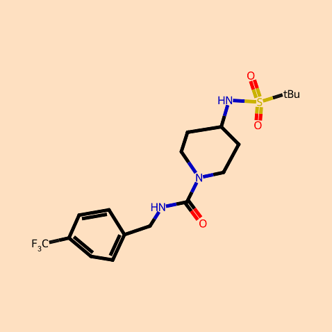 CC(C)(C)S(=O)(=O)NC1CCN(C(=O)NCc2ccc(C(F)(F)F)cc2)CC1